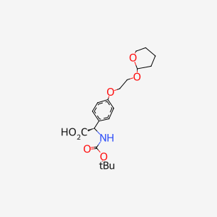 CC(C)(C)OC(=O)N[C@@H](C(=O)O)c1ccc(OCCOC2CCCCO2)cc1